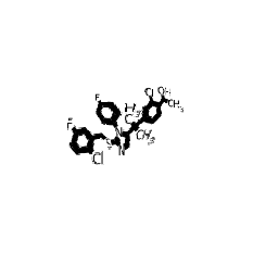 CC(O)c1ccc(C(C)(C)c2cnc(SCc3cc(F)ccc3Cl)n2-c2ccc(F)cc2)cc1Cl